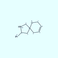 CC(C)C1CC2(CC=CCO2)CN1